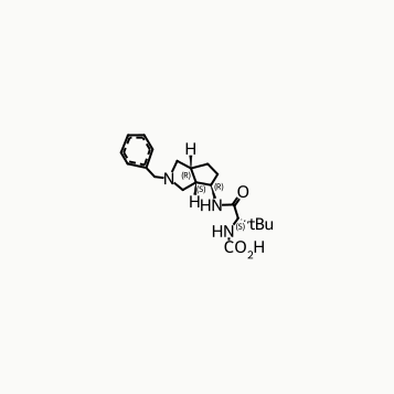 CC(C)(C)[C@H](NC(=O)O)C(=O)N[C@@H]1CC[C@H]2CN(Cc3ccccc3)C[C@H]21